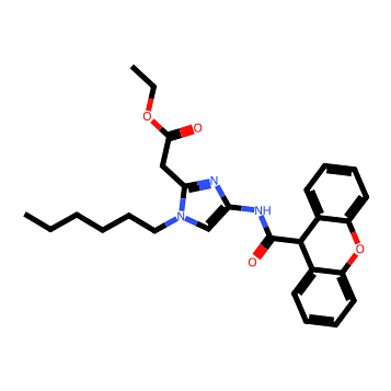 CCCCCCn1cc(NC(=O)C2c3ccccc3Oc3ccccc32)nc1CC(=O)OCC